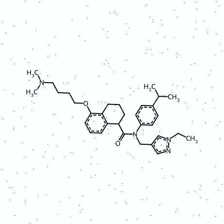 CCn1cc(CN(C(=O)C2CCCc3c(OCCCCN(C)C)cccc32)c2ccc(C(C)C)cc2)cn1